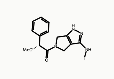 CO[C@@H](C(=O)N1Cc2[nH]nc(NI)c2C1)c1ccccc1